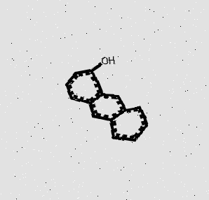 Oc1cc[c]c2cc3ccccc3cc12